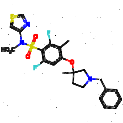 Cc1c(OC2(C)CCN(Cc3ccccc3)C2)cc(F)c(S(=O)(=O)N(C(=O)O)c2cscn2)c1F